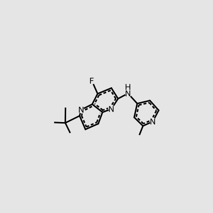 Cc1cc(Nc2cc(F)c3nc(C(C)(C)C)ccc3n2)ccn1